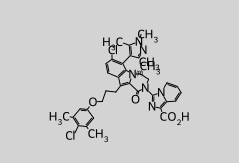 Cc1cc(OCCCc2c3n(c4c(-c5c(C)nn(C)c5C)c(Cl)ccc24)[C@H](C)CN(c2nc(C(=O)O)c4ccccn24)C3=O)cc(C)c1Cl